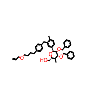 C=CCOCCCCc1ccc(Cc2cc([C@@H]3O[C@H](CO)C(C)[C@H](OCc4ccccc4)C3OCc3ccccc3)ccc2C)cc1